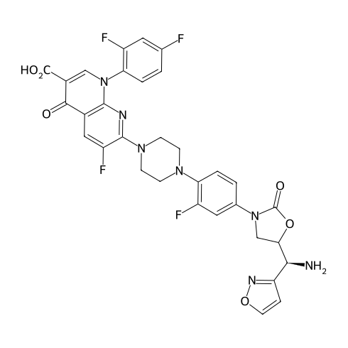 N[C@@H](c1ccon1)C1CN(c2ccc(N3CCN(c4nc5c(cc4F)c(=O)c(C(=O)O)cn5-c4ccc(F)cc4F)CC3)c(F)c2)C(=O)O1